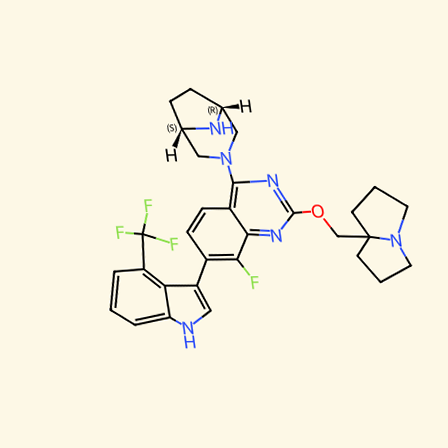 Fc1c(-c2c[nH]c3cccc(C(F)(F)F)c23)ccc2c(N3C[C@H]4CC[C@@H](C3)N4)nc(OCC34CCCN3CCC4)nc12